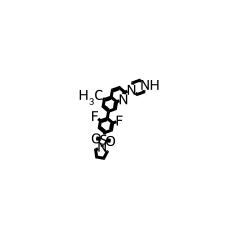 Cc1cc(-c2c(F)cc(S(=O)(=O)N3CCCC3)cc2F)cc2nc(N3CCNCC3)ccc12